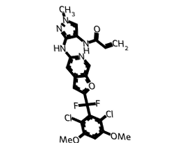 C=CC(=O)Nc1cn(C)nc1Nc1cc2cc(C(F)(F)c3c(Cl)c(OC)cc(OC)c3Cl)oc2cn1